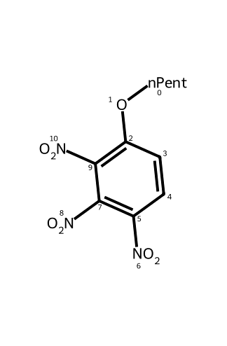 CCCCCOc1ccc([N+](=O)[O-])c([N+](=O)[O-])c1[N+](=O)[O-]